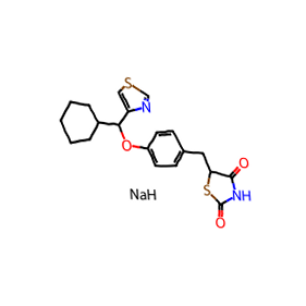 O=C1NC(=O)C(Cc2ccc(OC(c3cscn3)C3CCCCC3)cc2)S1.[NaH]